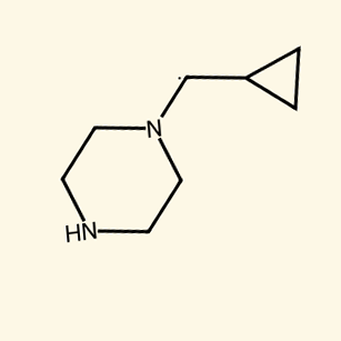 [CH](C1CC1)N1CCNCC1